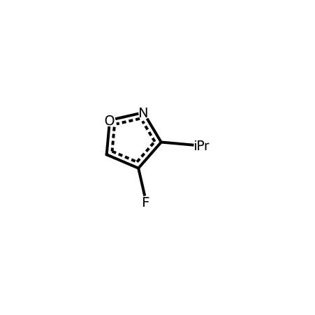 CC(C)c1nocc1F